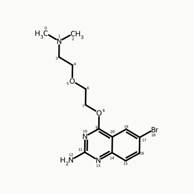 CN(C)CCOCCOc1nc(N)nc2ccc(Br)cc12